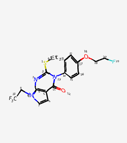 CCSc1nc2c(ccn2CC(F)(F)F)c(=O)n1-c1ccc(OCCF)cc1